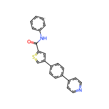 O=C(Nc1c[c]ccc1)c1cc(-c2ccc(-c3ccncc3)cc2)cs1